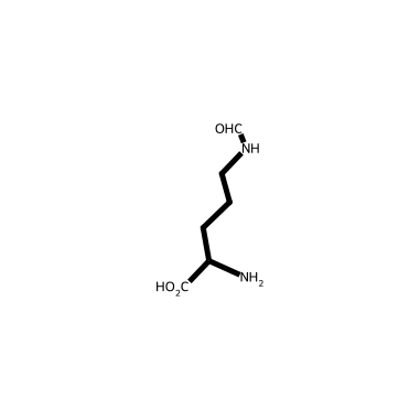 NC(CCCNC=O)C(=O)O